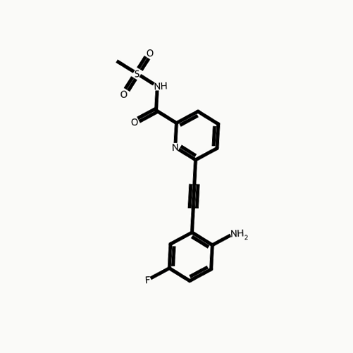 CS(=O)(=O)NC(=O)c1cccc(C#Cc2cc(F)ccc2N)n1